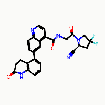 N#C[C@@H]1CC(F)(F)CN1C(=O)CNC(=O)c1ccnc2ccc(-c3cccc4c3CCC(=O)N4)cc12